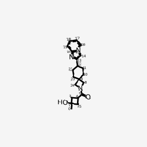 CC1(O)CC(C(=O)N2CC3(CCC(c4cn5ccccc5n4)CC3)C2)C1